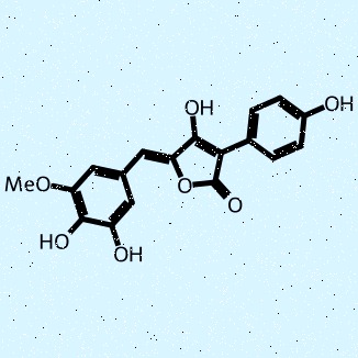 COc1cc(/C=C2\OC(=O)C(c3ccc(O)cc3)=C2O)cc(O)c1O